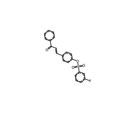 O=C(/C=C/c1ccc(OS(=O)(=O)c2cccc(F)c2)cc1)c1ccccc1